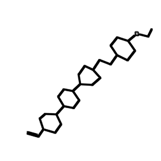 C=CC1CCC(C2CCC(C3CCC(CCC4CCC(OCC)CC4)CC3)CC2)CC1